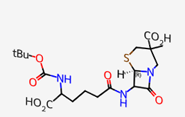 CC(C)(C)OC(=O)NC(CCCC(=O)NC1C(=O)N2CC(C)(C(=O)O)CS[C@H]12)C(=O)O